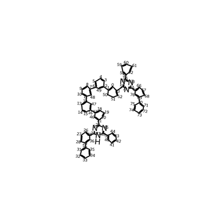 C1=C(c2cccc(-c3cccc(-c4cccc(-c5cccc(C6=NC(c7cccc(-c8ccccc8)c7)NC(c7ccccc7)=N6)c5)c4)c3)c2)CCC=C1c1nc(-c2ccccc2)nc(-c2cccc(-c3ccccc3)c2)n1